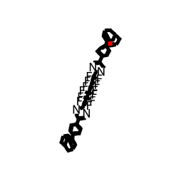 FC(F)(c1ncc(-c2ccc(C34CC5CC(CC(C5)C3)C4)cc2)cn1)C(F)(F)C(F)(F)C(F)(F)C(F)(F)C(F)(F)c1ncc(-c2ccc(C34CC5CC(CC(C5)C3)C4)cc2)cn1